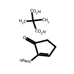 CC(C)(C(=O)O)C(=O)O.CCCCCC1=CCCC1=O